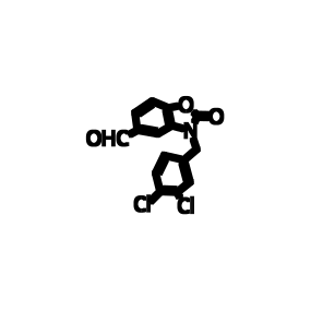 O=Cc1ccc2oc(=O)n(Cc3ccc(Cl)c(Cl)c3)c2c1